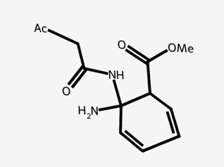 COC(=O)C1C=CC=CC1(N)NC(=O)CC(C)=O